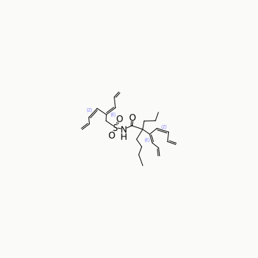 C=C/C=C\C(=C/C=C)CS(=O)(=O)NC(=O)C(CCC)(CCCC)C(/C=C\C=C)=C/C=C